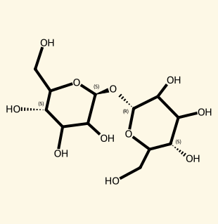 OCC1O[C@H](O[C@@H]2OC(CO)[C@@H](O)C(O)C2O)C(O)C(O)[C@@H]1O